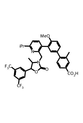 COc1ccc(-c2ccc(C(=O)O)cc2C)cc1-c1ccc(C(C)C)nc1CN1C(=O)OC(c2cc(C(F)(F)F)cc(C(F)(F)F)c2)C1C